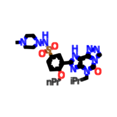 CCCOc1ccc(S(=O)(=O)NN2CCN(C)CC2)cc1-c1nc2c([nH]1)c1nncn1c(=O)n2CC(C)C